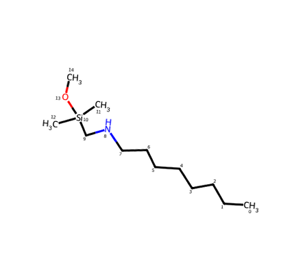 CCCCCCCCNC[Si](C)(C)OC